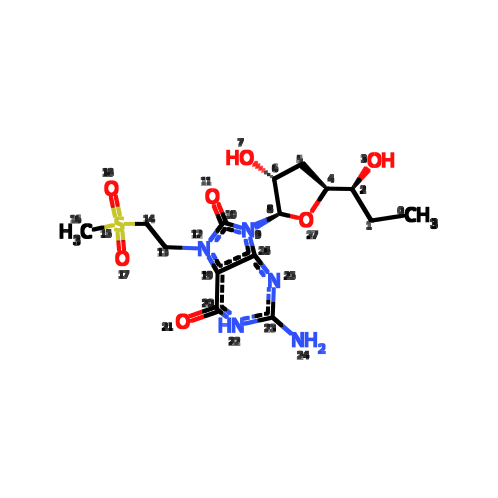 CC[C@H](O)[C@@H]1C[C@@H](O)[C@H](n2c(=O)n(CCS(C)(=O)=O)c3c(=O)[nH]c(N)nc32)O1